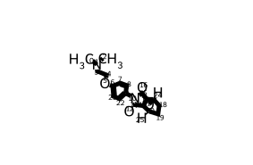 CN(C)CCOc1ccc(N2C(=O)C3C(C2=O)[C@H]2CC[C@@H]3O2)cc1